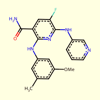 COc1cc(C)cc(Nc2nc(Nc3cccnc3)c(F)cc2C(N)=O)c1